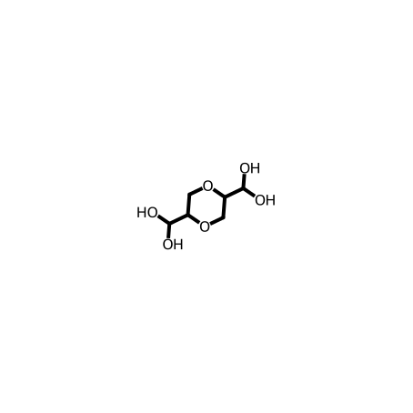 OC(O)C1COC(C(O)O)CO1